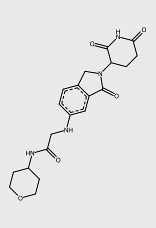 O=C1CCC(N2Cc3ccc(NCC(=O)NC4CCOCC4)cc3C2=O)C(=O)N1